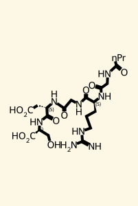 CCCC(=O)NCC(=O)N[C@@H](CCCNC(=N)N)C(=O)NCC(=O)N[C@@H](CC(=O)O)C(=O)N[C@@H](CO)C(=O)O